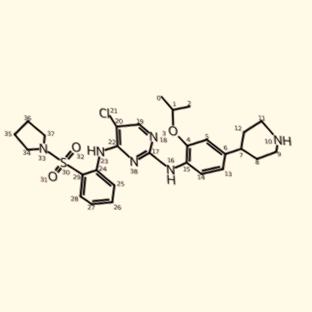 CC(C)Oc1cc(C2CCNCC2)ccc1Nc1ncc(Cl)c(Nc2ccccc2S(=O)(=O)N2CCCC2)n1